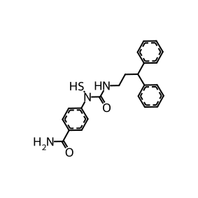 NC(=O)c1ccc(N(S)C(=O)NCCC(c2ccccc2)c2ccccc2)cc1